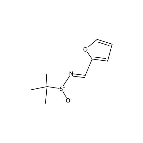 CC(C)(C)[S+]([O-])N=Cc1ccco1